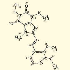 CCn1c(=O)c2c(nc(C=Cc3cccc(OC)c3OC)n2C)n(CC)c1=O